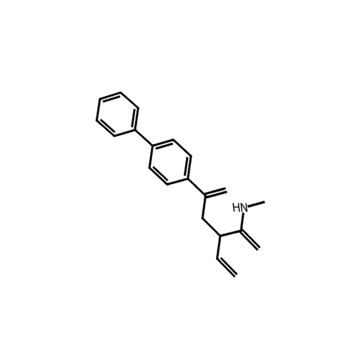 C=CC(CC(=C)c1ccc(-c2ccccc2)cc1)C(=C)NC